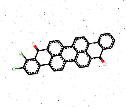 O=C1c2ccccc2-c2ccc3c4ccc5c6c(ccc(c7ccc1c2c37)c64)-c1ccc(Cl)c(Cl)c1C5=O